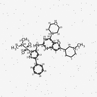 CN1CCCC(c2cc3nc(Nc4cc(-c5ccccc5)nn4S(=O)(=O)N(C)C)nc(N4CCOCC4)c3o2)C1